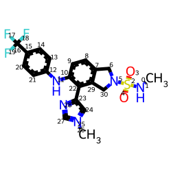 CNS(=O)(=O)N1Cc2ccc(Nc3ccc(C(F)(F)F)cc3)c(-c3cn(C)cn3)c2C1